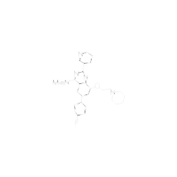 CNc1nc(-c2cccnc2)nc2c(OCCN3CCCCC3)cc(-c3ccc(F)cc3)cc12